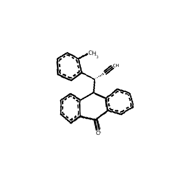 C#C[C@@H](c1ccccc1C)C1c2ccccc2C(=O)c2ccccc21